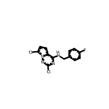 Fc1ccc(CNc2nc(Cl)nn3c(Cl)ccc23)cc1